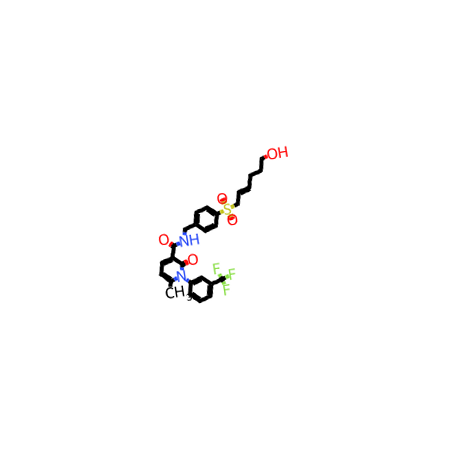 Cc1ccc(C(=O)NCc2ccc(S(=O)(=O)CC=CCCCO)cc2)c(=O)n1-c1cccc(C(F)(F)F)c1